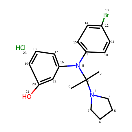 CC(C)(N1CCCC1)N(c1ccc(Br)cc1)c1cccc(O)c1.Cl